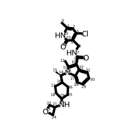 Cc1cc(Cl)c(CNC(=O)c2c(C)n([C@H](C)C3CCC(NC4COC4)CC3)c3ccccc23)c(=O)[nH]1